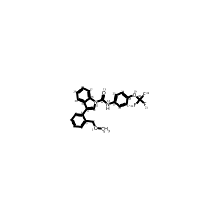 COCc1ccccc1-c1cn(C(=O)Nc2ccc(OC(F)(F)F)cc2)c2ccccc12